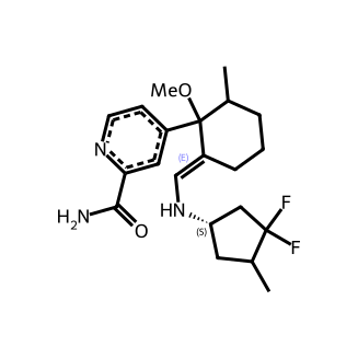 COC1(c2ccnc(C(N)=O)c2)/C(=C/N[C@H]2CC(C)C(F)(F)C2)CCCC1C